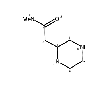 CNC(=O)CC1CNCC[N]1